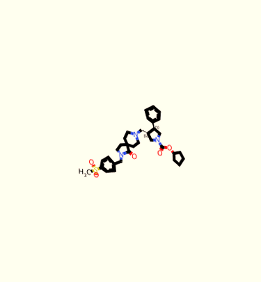 CS(=O)(=O)c1ccc(CN2CCC3(CCN(C[C@H]4CN(C(=O)OC5CCCC5)C[C@@H]4c4ccccc4)CC3)C2=O)cc1